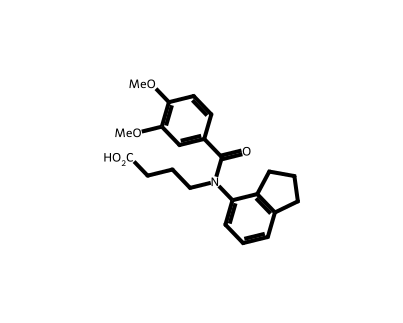 COc1ccc(C(=O)N(CCCC(=O)O)c2cccc3c2CCC3)cc1OC